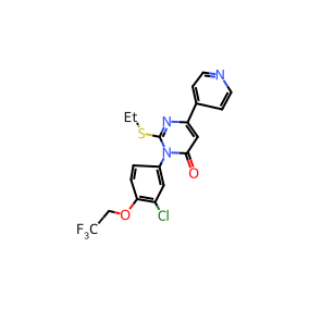 CCSc1nc(-c2ccncc2)cc(=O)n1-c1ccc(OCC(F)(F)F)c(Cl)c1